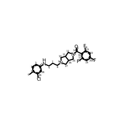 Cc1ccc(NCCCN2CC3CN(C(=O)c4c(F)cc(F)cc4F)CC3C2)cc1Cl